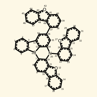 c1ccc2c(c1)B1c3ccc4c(oc5ccccc54)c3N(c3cccc4c3oc3ccccc34)c3cc(-c4cccc5oc6ccccc6c45)cc-2c31